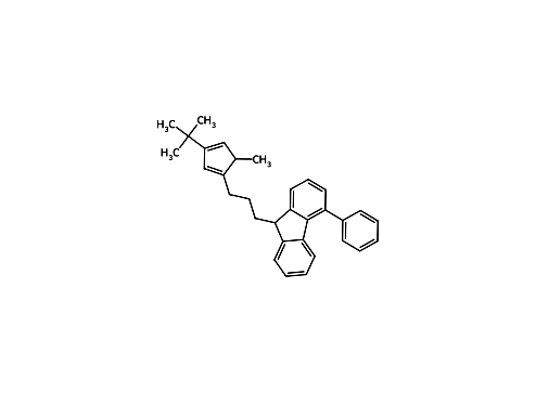 CC1C=C(C(C)(C)C)C=C1CCCC1c2ccccc2-c2c(-c3ccccc3)cccc21